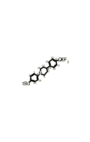 CC(C)(C)c1ccc(N2CCC(c3ccc(OC(F)(F)F)cc3)CC2)cc1